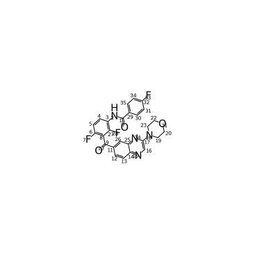 O=C(Nc1ccc(F)c(C(=O)c2ccc3ncc(N4CCOCC4)nc3c2)c1F)c1ccc(F)cc1